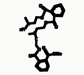 CCCN(C)CCOC(=O)c1ccccc1C(=O)OCCN(C)CCOC(=O)c1ccccc1C(=O)OC